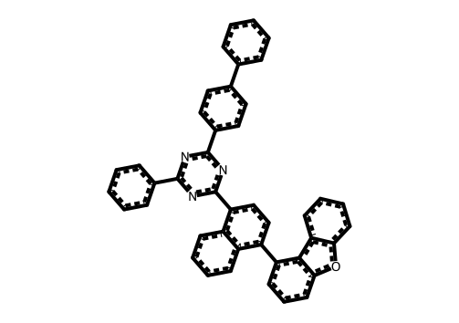 c1ccc(-c2ccc(-c3nc(-c4ccccc4)nc(-c4ccc(-c5cccc6oc7ccccc7c56)c5ccccc45)n3)cc2)cc1